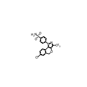 NS(=O)(=O)c1ccc(-n2nc(C(F)(F)F)c3c2-c2ccc(Cl)cc2CO3)cc1